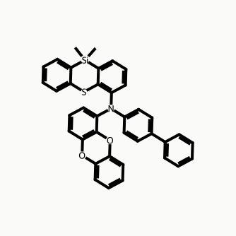 C[Si]1(C)c2ccccc2Sc2c(N(c3ccc(-c4ccccc4)cc3)c3cccc4c3Oc3ccccc3O4)cccc21